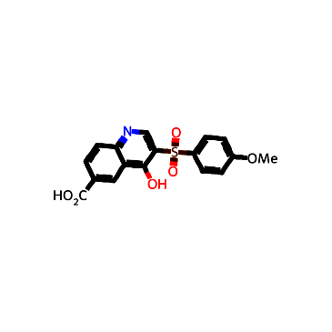 COc1ccc(S(=O)(=O)c2cnc3ccc(C(=O)O)cc3c2O)cc1